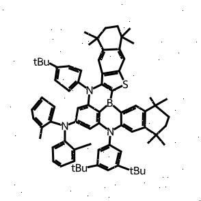 Cc1ccccc1N(c1cc2c3c(c1)N(c1ccc(C(C)(C)C)cc1)c1c(sc4cc5c(cc14)C(C)(C)CCC5(C)C)B3c1cc3c(cc1N2c1cc(C(C)(C)C)cc(C(C)(C)C)c1)C(C)(C)CCC3(C)C)c1ccccc1C